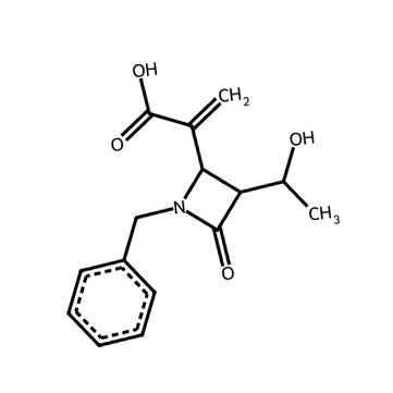 C=C(C(=O)O)C1C(C(C)O)C(=O)N1Cc1ccccc1